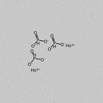 O=[PH]([O-])[O-].O=[PH]([O-])[O-].O=[PH]([O-])[O-].[Ho+3].[Ho+3]